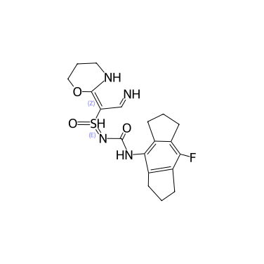 N=CC(=C1\NCCCO1)/[SH](=O)=N\C(=O)Nc1c2c(c(F)c3c1CCC3)CCC2